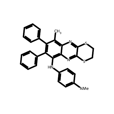 CNc1ccc(Nc2c(-c3ccccc3)c(-c3ccccc3)c(C)c3nc4c(nc23)SCCS4)cc1